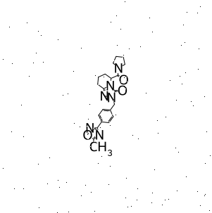 Cc1nc(-c2ccc(Cn3nc4n(c3=O)C(C(=O)N3CCCC3)CCC4)cc2)no1